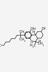 CCCCCCCC(C)(C)c1cc(O)c2c(c1)OC(C)(C)[C@@H]1CCC(O)C[C@@H]21